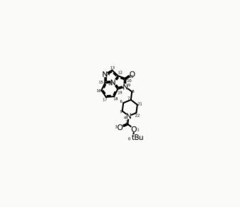 CC(C)(C)OC(=O)N1CCC(Cn2c(=O)c3cnc4cccc2n43)CC1